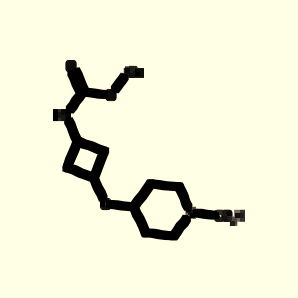 CC(C)(C)OC(=O)NC1CC(OC2CCN(C(=O)O)CC2)C1